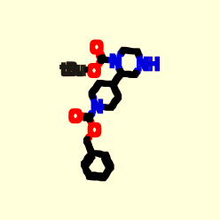 CC(C)(C)OC(=O)N1CCNCC1C1CCN(C(=O)OCc2ccccc2)CC1